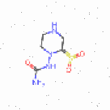 NC(=O)NN1CCNCC1=S(=O)=O